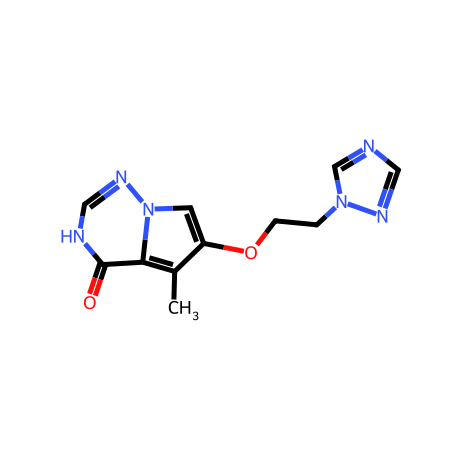 Cc1c(OCCn2cncn2)cn2nc[nH]c(=O)c12